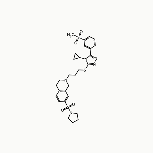 CS(=O)(=O)c1cccc(-c2nnc(SCCCN3CCc4ccc(S(=O)(=O)N5CCCC5)cc4C3)n2C2CC2)c1